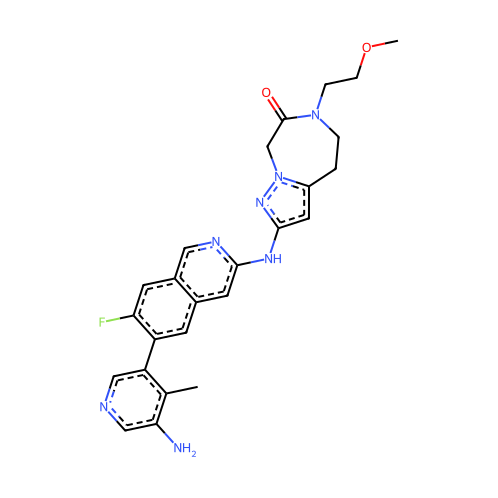 COCCN1CCc2cc(Nc3cc4cc(-c5cncc(N)c5C)c(F)cc4cn3)nn2CC1=O